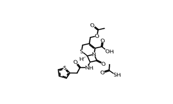 CC(=O)OCC1=C(C(=O)O)N2C(=O)[C@@H](NC(=O)Cc3cccs3)[C@H]2SC1.CC(=O)S